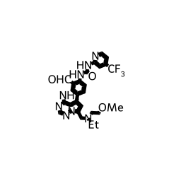 CCN(CCOC)Cc1cc(-c2ccc(NC(=O)Nc3cc(C(F)(F)F)ccn3)c(C=O)c2)c2c(N)ncnn12